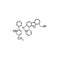 CC1=CC=C(c2ccccc2[C@H]2CN3C=CC=CC3c3c2ccc2c3oc3c(CC(C)C)cccc32)NC1